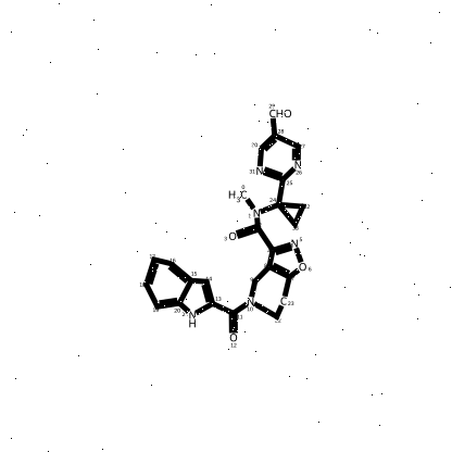 CN(C(=O)c1noc2c1CN(C(=O)c1cc3ccccc3[nH]1)CC2)C1(c2ncc(C=O)cn2)CC1